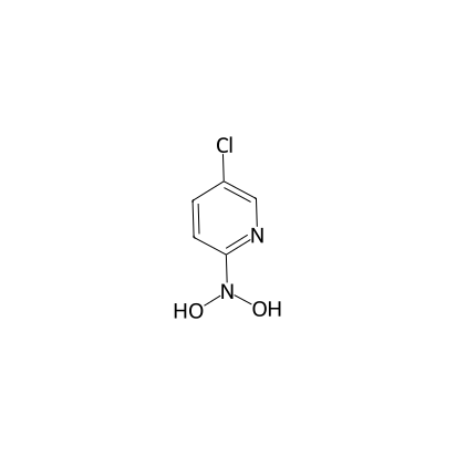 ON(O)c1ccc(Cl)cn1